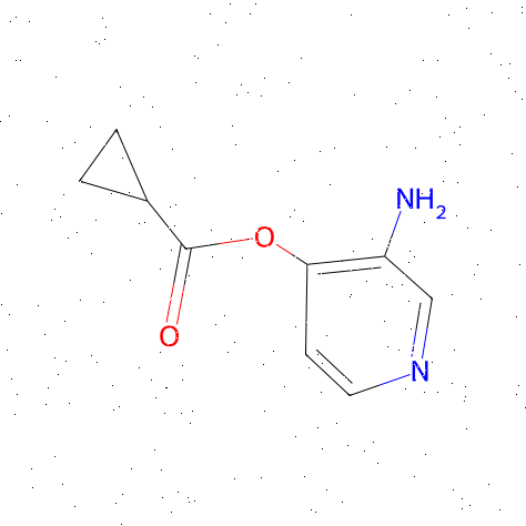 Nc1cnccc1OC(=O)C1CC1